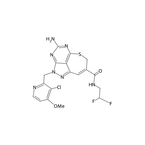 COc1ccnc(Cn2nc3c4c(nc(N)nc42)SCC(C(=O)NCC(F)F)=C3)c1Cl